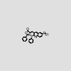 CCOc1ccc2nc(Sc3ccccc3)c(/C=C3\N=C(c4ccccc4)OC3=O)cc2c1